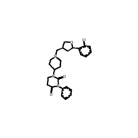 O=C1CCN(C2CCN(CC3COC(c4ccccc4Cl)C3)CC2)C(=O)N1c1ccccc1